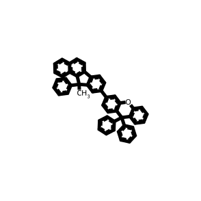 CC1(c2ccccc2)c2cc(-c3ccc4c(c3)Oc3ccccc3C4(c3ccccc3)c3ccccc3)ccc2-c2ccc3ccccc3c21